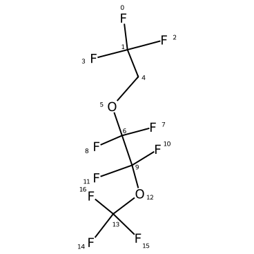 FC(F)(F)COC(F)(F)C(F)(F)OC(F)(F)F